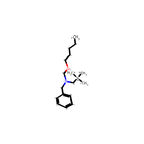 CCCCCOCN(Cc1ccccc1)C[Si](C)(C)C